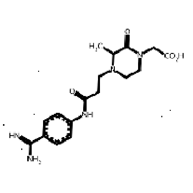 CC1C(=O)N(CC(=O)O)CCN1CCC(=O)Nc1ccc(C(=N)N)cc1